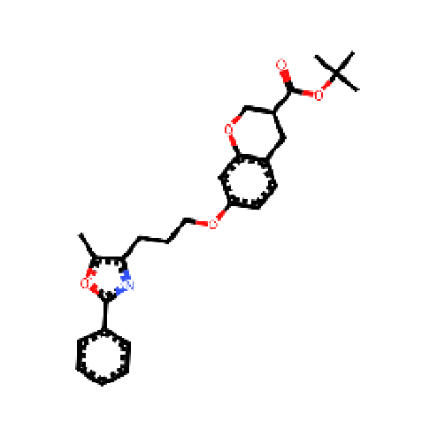 Cc1oc(-c2ccccc2)nc1CCCOc1ccc2c(c1)OCC(C(=O)OC(C)(C)C)C2